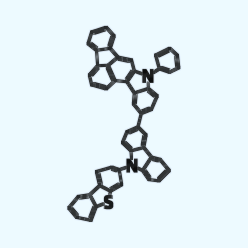 c1ccc(-n2c3ccc(-c4ccc5c(c4)c4ccccc4n5-c4ccc5c(c4)sc4ccccc45)cc3c3c4cccc5c4c(cc32)-c2ccccc2-5)cc1